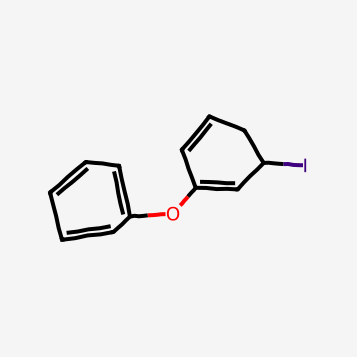 IC1C=C(Oc2ccccc2)C=CC1